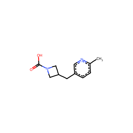 Cc1ccc(CC2CN(C(=O)O)C2)cn1